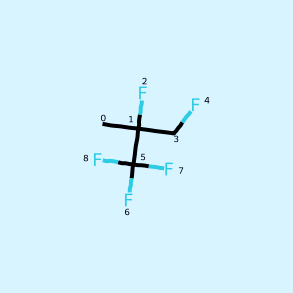 CC(F)(CF)C(F)(F)F